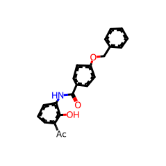 CC(=O)c1cccc(NC(=O)c2ccc(OCc3ccccc3)cc2)c1O